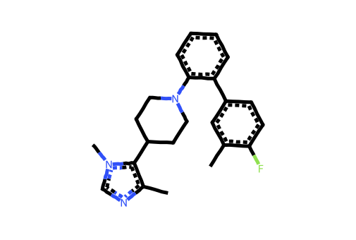 Cc1cc(-c2ccccc2N2CCC(c3c(C)ncn3C)CC2)ccc1F